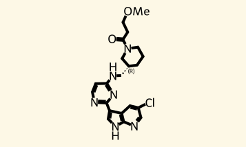 COCCC(=O)N1CCC[C@H](CNc2ccnc(-c3c[nH]c4ncc(Cl)cc34)n2)C1